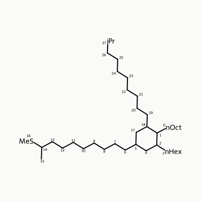 CCCCCCCCC1C(CCCCCC)CC(CCCCCCCCC(C)SC)CC1CCCCCCCCC(C)C